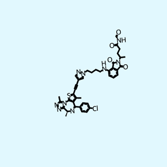 Cc1c(C#Cc2cnn(CCCCNc3cccc4c3C(=O)N(C(C)CCC(=O)NC=O)C4=O)c2)sc2c1C(c1ccc(Cl)cc1)=N[C@@H](C)c1nnc(C)n1-2